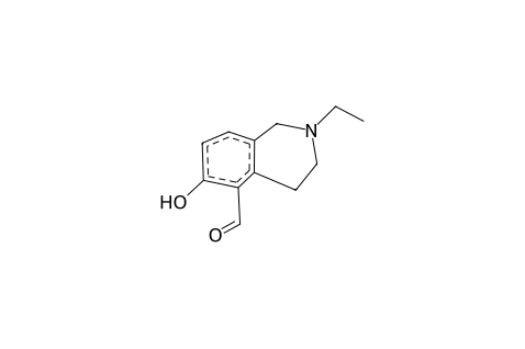 CCN1CCc2c(ccc(O)c2C=O)C1